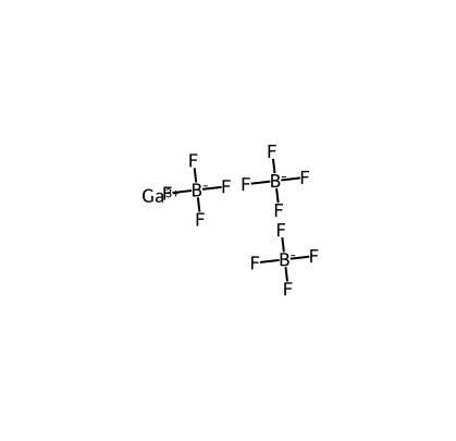 F[B-](F)(F)F.F[B-](F)(F)F.F[B-](F)(F)F.[Ga+3]